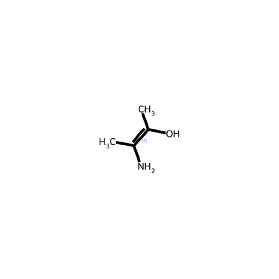 C/C(N)=C(\C)O